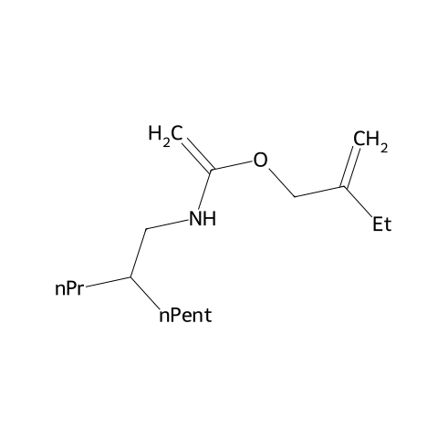 C=C(CC)COC(=C)NCC(CCC)CCCCC